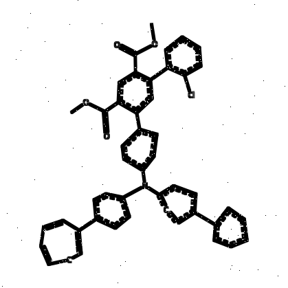 COC(=O)c1cc(C(=O)OC)c(-c2ccccc2Cl)cc1-c1ccc(N(c2ccc(C3=CCC=CC=C3)cc2)c2ccc(-c3ccccc3)cc2)cc1